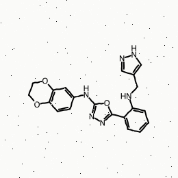 c1ccc(-c2nnc(Nc3ccc4c(c3)OCCO4)o2)c(NCc2cn[nH]c2)c1